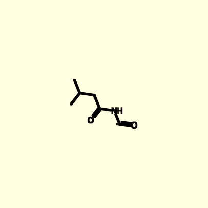 CC(C)CC(=O)N[C]=O